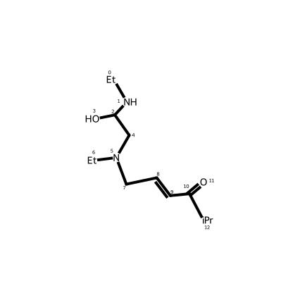 CCNC(O)CN(CC)C/C=C/C(=O)C(C)C